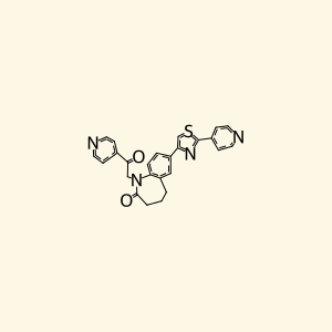 O=C(CN1C(=O)CCCc2cc(-c3csc(-c4ccncc4)n3)ccc21)c1ccncc1